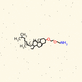 CC(C)CCC[C@@H](C)[C@H]1CCC2C3CC=C4CC(OCCOCCN)CC[C@]4(C)C3CC[C@@]21C